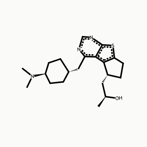 C[C@H](O)C[C@H]1CCc2sc3ncnc(C[C@H]4CC[C@H](N(C)C)CC4)c3c21